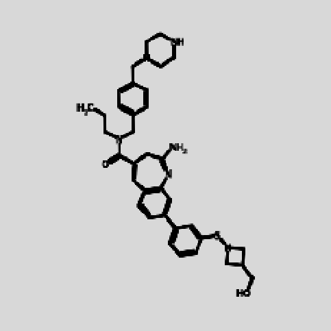 CCCN(Cc1ccc(CN2CCNCC2)cc1)C(=O)C1=Cc2ccc(-c3cccc(SN4CC(CO)C4)c3)cc2N=C(N)C1